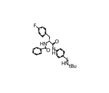 CC(C)(C)NSc1ccc(NC(=O)[C@H](Cc2ccc(F)cc2)NC(=O)c2ccccc2)cc1